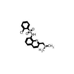 CN(C)Cc1ccc2cccc(NS(=O)(=O)c3ccccc3Cl)c2n1